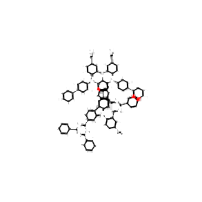 [C-]#[N+]c1ccc(-n2c3ccc(-c4cc5c6c(c4)N(c4ccc(-c7ccccc7)cc4)c4ccc(C#N)cc4B6c4cc(C#N)ccc4N5c4ccc(-c5ccccc5)cc4)cc3c3ccc(-c4nc(-c5ccccc5)nc(-c5ccccc5)n4)cc32)c(-c2nc(-c3ccccc3)nc(-c3ccccc3)n2)c1